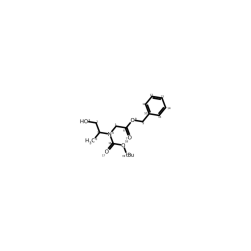 CC(CO)N(CC(=O)OCc1ccccc1)C(=O)OC(C)(C)C